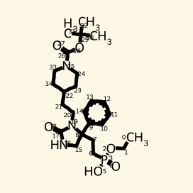 CCOP(=O)(O)CCC1(c2ccccc2)CNC(=O)N1CCC1CCN(C(=O)OC(C)(C)C)CC1